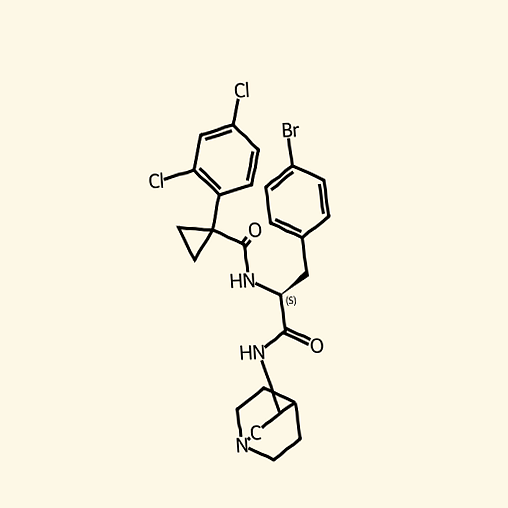 O=C(NC1CN2CCC1CC2)[C@H](Cc1ccc(Br)cc1)NC(=O)C1(c2ccc(Cl)cc2Cl)CC1